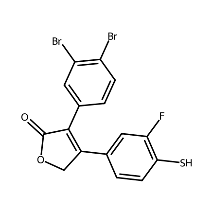 O=C1OCC(c2ccc(S)c(F)c2)=C1c1ccc(Br)c(Br)c1